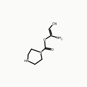 N#CC=C(N)OC(=O)N1CCNCC1